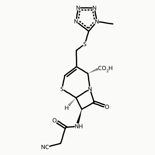 Cn1nnnc1SCC1=CS[C@@H]2[C@H](NC(=O)CC#N)C(=O)N2[C@H]1C(=O)O